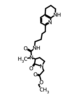 CCOC(=O)CN1CCC(N(C)C(=O)NCCCCc2ccc3c(n2)NCCC3)C1=O